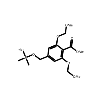 COCOc1cc(CO[Si](C)(C)C(C)(C)C)cc(OCOC)c1C(=O)OC